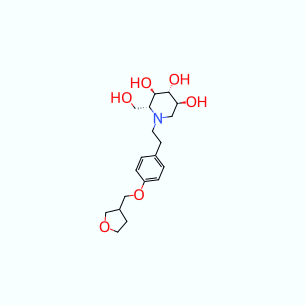 OC[C@@H]1[C@@H](O)[C@H](O)[C@@H](O)CN1CCc1ccc(OCC2CCOC2)cc1